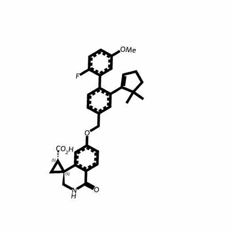 COc1ccc(F)c(-c2ccc(COc3ccc4c(c3)[C@]3(CNC4=O)C[C@@H]3C(=O)O)cc2C2=CCCC2(C)C)c1